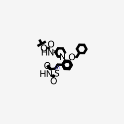 CC(C)(C)OC(=O)N[C@@H]1CCCN(c2c(/C=C3\SC(=O)NC3=O)cccc2OCC2CCCCC2)C1